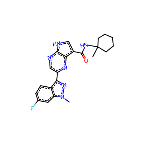 Cn1nc(-c2cnc3[nH]cc(C(=O)NC4(C)CCCCC4)c3n2)c2ccc(F)cc21